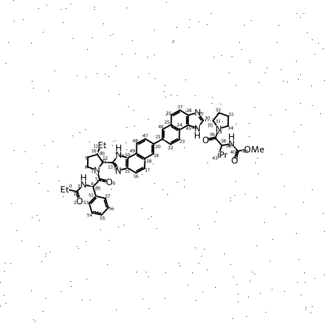 CCC(=O)N[C@@H](C(=O)N1CC[C@@H](CC)[C@H]1c1nc2ccc3cc(-c4ccc5c(ccc6nc([C@@H]7CCCN7C(=O)C(NC(=O)OC)C(C)C)[nH]c65)c4)ccc3c2[nH]1)c1ccccc1